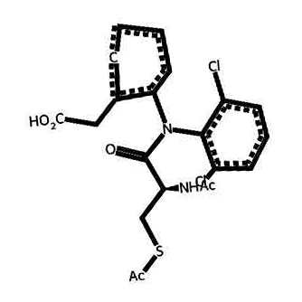 CC(=O)N[C@@H](CSC(C)=O)C(=O)N(c1ccccc1CC(=O)O)c1c(Cl)cccc1Cl